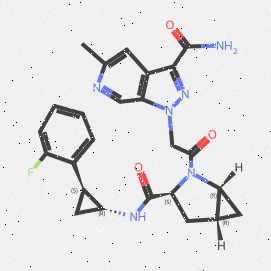 Cc1cc2c(C(N)=O)nn(CC(=O)N3[C@@H]4C[C@@H]4C[C@H]3C(=O)N[C@@H]3C[C@H]3c3ccccc3F)c2cn1